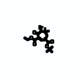 CCOC(=O)C1=CN(C(=O)OC(C)(C)C)CC(C)(C)C(Br)C1=O